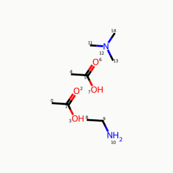 CC(=O)O.CC(=O)O.CCN.CN(C)C